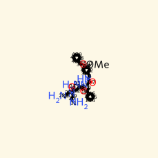 COc1cc(CNC(=O)[C@H](CCc2ccccc2)NC(=O)[C@@H](N)CC(=O)N(CCN)CCN)ccc1OCc1ccccc1